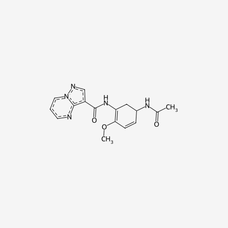 COC1=C(NC(=O)c2cnn3cccnc23)CC(NC(C)=O)C=C1